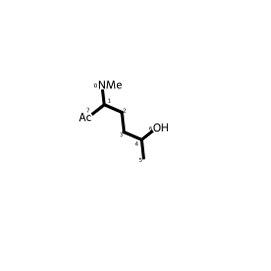 CNC(CCC(C)O)C(C)=O